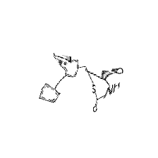 O=C1NC(=O)C(=Cc2cncc(-c3ccccc3)c2)S1